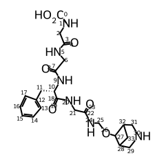 O=C(O)NCC(=O)NCC(=O)N[C@@H](Cc1ccccc1)C(=O)NCC(=O)NCOC1C2CNCC1C2